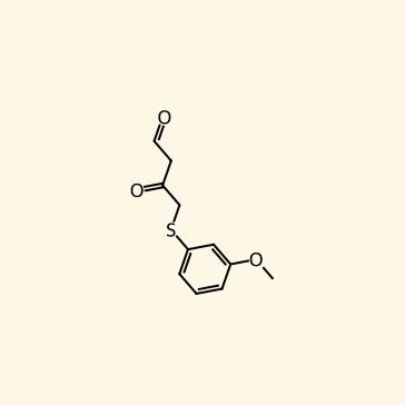 COc1cccc(SCC(=O)CC=O)c1